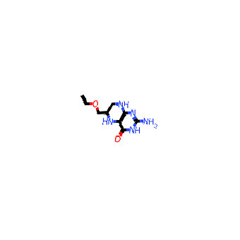 CCOCC1CNc2nc(N)[nH]c(=O)c2N1